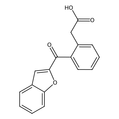 O=C(O)Cc1ccccc1C(=O)c1cc2ccccc2o1